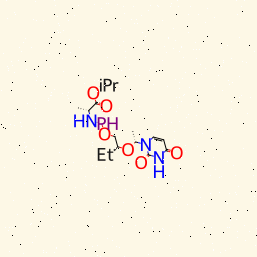 CC[C@@H](COPN[C@H](C)C(=O)OC(C)C)O[C@H](C)n1ccc(=O)[nH]c1=O